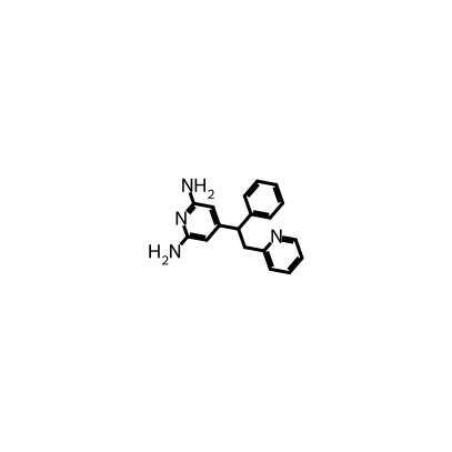 Nc1cc(C(Cc2ccccn2)c2ccccc2)cc(N)n1